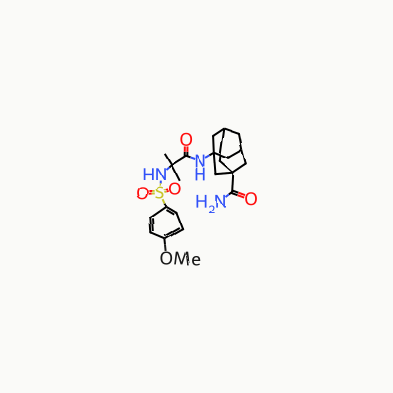 COc1ccc(S(=O)(=O)NC(C)(C)C(=O)NC23CC4CC(C2)CC(C(N)=O)(C4)C3)cc1